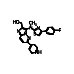 CN(c1nc(-c2ccc(F)cc2)cs1)c1c(CO)nc2ccc(C3=CCNCC3)nn12